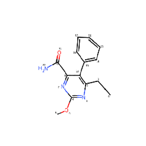 CCc1nc(OC)nc(C(N)=O)c1-c1ccccc1